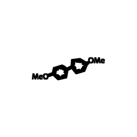 COc1c[c]c(-c2ccc(OC)cc2)cc1